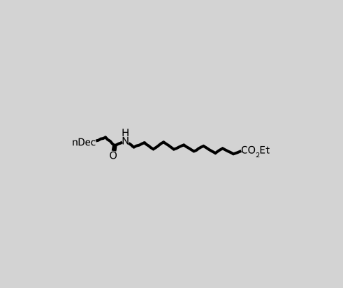 CCCCCCCCCCCC(=O)NCCCCCCCCCCCC(=O)OCC